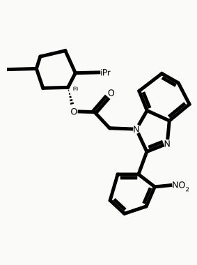 CC1CCC(C(C)C)[C@H](OC(=O)Cn2c(-c3ccccc3[N+](=O)[O-])nc3ccccc32)C1